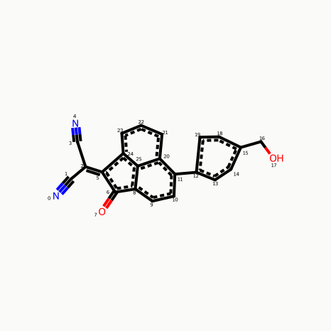 N#CC(C#N)=c1c(=O)c2ccc(-c3ccc(CO)cc3)c3cccc1c32